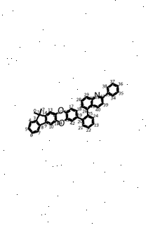 CC1(C)c2ccccc2-c2cc3c(cc21)Oc1ccc(-c2ccccc2-c2cccc4nc(-c5ccccc5)ccc24)cc1O3